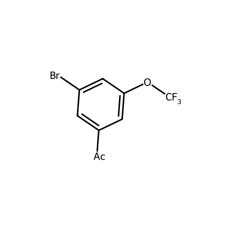 CC(=O)c1cc(Br)cc(OC(F)(F)F)c1